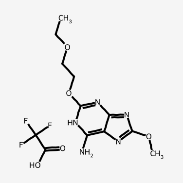 CCOCCOc1nc2nc(OC)nc-2c(N)[nH]1.O=C(O)C(F)(F)F